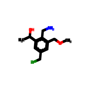 COCc1cc(CBr)cc(C(C)O)c1CN